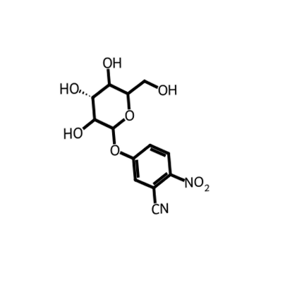 N#Cc1cc(OC2OC(CO)C(O)[C@@H](O)C2O)ccc1[N+](=O)[O-]